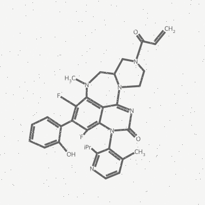 C=CC(=O)N1CCN2c3nc(=O)n(-c4c(C)ccnc4C(C)C)c4c(F)c(-c5ccccc5O)c(F)c(c34)N(C)CC2C1